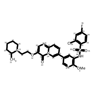 COc1ncc(-c2ccc3ncc(OCCN4CCCCC4C)c(=O)n3c2)cc1NS(=O)(=O)c1ccc(F)cc1Cl